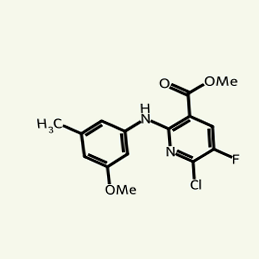 COC(=O)c1cc(F)c(Cl)nc1Nc1cc(C)cc(OC)c1